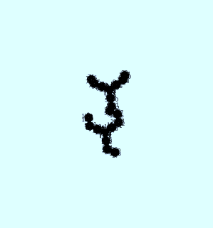 c1ccc(-c2cccc(-c3ccc(-c4nc(-c5ccc(-c6cccc(-c7ccccc7)c6)cc5)nc(-c5ccc(-c6cccc(-c7cccc(-c8cccc9cc(-c%10ccc(-c%11nc(-c%12ccc(-c%13ccc%14ccccc%14c%13)cc%12)nc(-c%12ccc(-c%13ccc%14ccccc%14c%13)cc%12)n%11)cc%10)ccc89)c7)c6)cc5)n4)cc3)c2)cc1